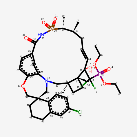 CCOP(=O)(OCC)C(F)(F)[C@]1(O)/C=C/C[C@H](C)[C@@H](C)S(=O)(=O)NC(=O)c2ccc3c(c2)N(C[C@@H]2CC[C@H]21)C[C@@]1(CCCc2cc(Cl)ccc21)CO3